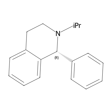 CC(C)N1CCc2ccccc2[C@H]1c1ccccc1